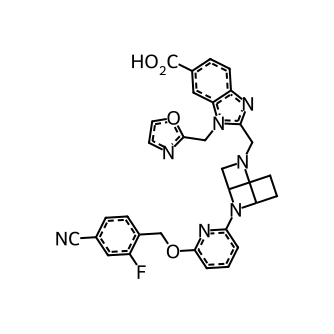 N#Cc1ccc(COc2cccc(N3C4CCC45C3CN5Cc3nc4ccc(C(=O)O)cc4n3Cc3ncco3)n2)c(F)c1